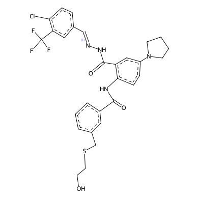 O=C(Nc1ccc(N2CCCC2)cc1C(=O)N/N=C/c1ccc(Cl)c(C(F)(F)F)c1)c1cccc(CSCCO)c1